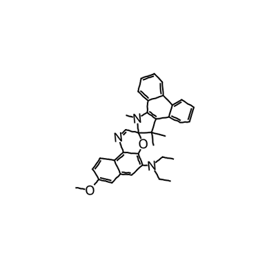 CCN(CC)c1cc2cc(OC)ccc2c2c1OC1(C=N2)N(C)c2c(c3ccccc3c3ccccc23)C1(C)C